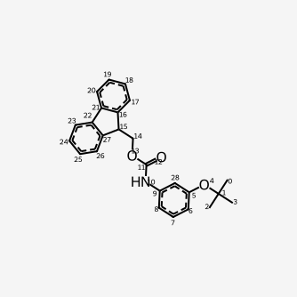 CC(C)(C)Oc1cccc(NC(=O)OCC2c3ccccc3-c3ccccc32)c1